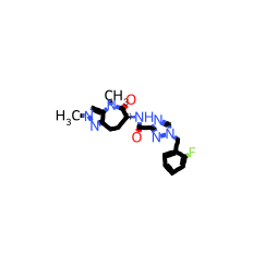 CN1C(=O)[C@@H](NC(=O)c2ncn(Cc3ccccc3F)n2)CCc2nn(C)cc21